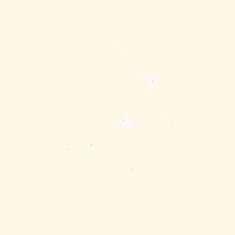 CN1C(=O)C=C(NCc2ccccc2Cl)C1=O